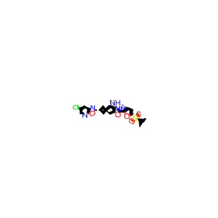 N[C@]1(NC(=O)c2ccc(S(=O)(=O)C3CC3)o2)CC[C@]2(C1)C[C@@H](c1nc3cc(Cl)cnc3o1)C2